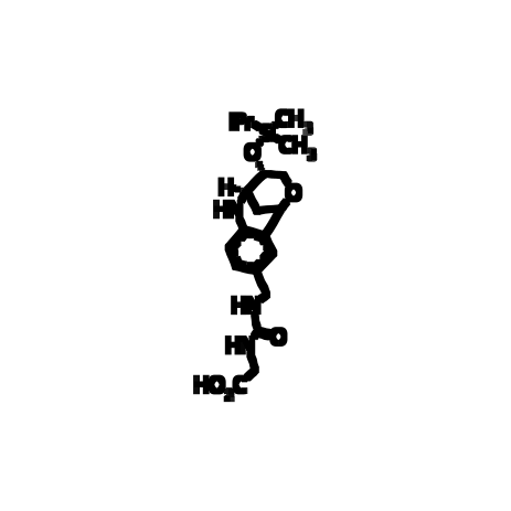 CC(C)[Si](C)(C)O[C@@H]1COC2C[C@H]1Nc1ccc(CNC(=O)NCC(=O)O)cc12